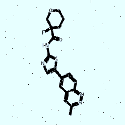 Cc1cc2cc(-c3cnc(NC(=O)C4(F)CCCOC4)s3)ccc2nn1